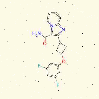 NC(=O)c1c(C2CC(Oc3cc(F)cc(F)c3)C2)nc2ccccn12